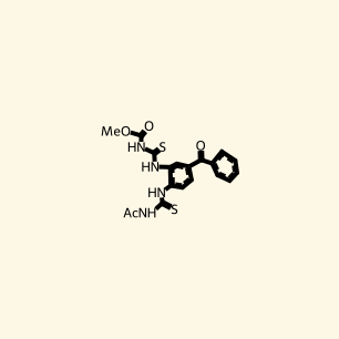 COC(=O)NC(=S)Nc1cc(C(=O)c2ccccc2)ccc1NC(=S)NC(C)=O